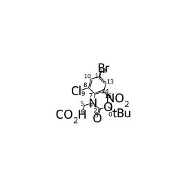 CC(C)(C)OC(=O)N(CC(=O)O)c1c(Cl)cc(Br)cc1[N+](=O)[O-]